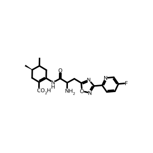 CC1CC(NC(=O)C(N)Cc2nc(-c3ccc(F)cn3)no2)=C(C(=O)O)C[C@H]1C